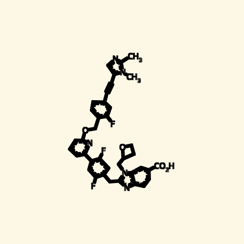 Cc1ncc(C#Cc2ccc(COc3cccc(-c4cc(F)c(Cc5nc6ccc(C(=O)O)cc6n5CC5CCO5)cc4F)n3)c(F)c2)n1C